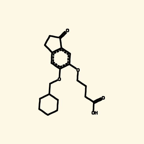 O=C(O)CCCOc1cc2c(cc1OCC1CCCCC1)CCC2=O